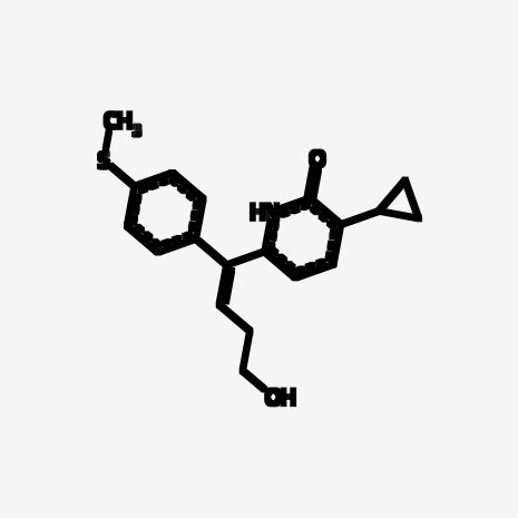 CSc1ccc(C(=CCCO)c2ccc(C3CC3)c(=O)[nH]2)cc1